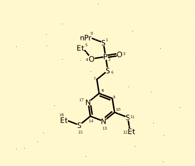 CCCSP(=O)(OCC)SCc1cc(SCC)nc(SCC)n1